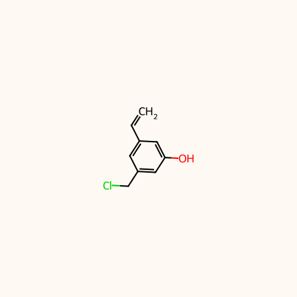 C=Cc1cc(O)cc(CCl)c1